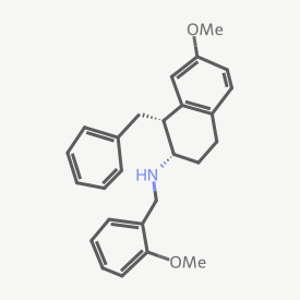 COc1ccc2c(c1)[C@@H](Cc1ccccc1)[C@@H](NCc1ccccc1OC)CC2